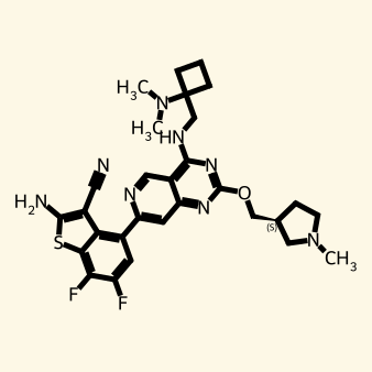 CN1CC[C@H](COc2nc(NCC3(N(C)C)CCC3)c3cnc(-c4cc(F)c(F)c5sc(N)c(C#N)c45)cc3n2)C1